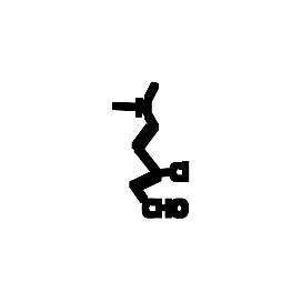 CN(C)/C=C/C(Cl)=C/C=O